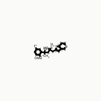 COc1ccc(F)cc1C(C)(CC(C)(O)Cc1cc2cnccc2s1)C(F)(F)F